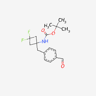 CC(C)(C)OC(=O)NC1(Cc2ccc(C=O)cc2)CC(F)(F)C1